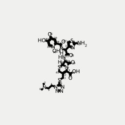 CN(C)CCn1nnnc1SCC1=C(C(=O)O)N2C(=O)[C@@H](NC(=O)C(NC(=O)c3cc(=O)c(O)cn3O)c3csc(N)n3)[C@H]2SC1